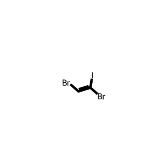 BrC=C(Br)I